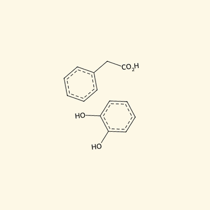 O=C(O)Cc1ccccc1.Oc1ccccc1O